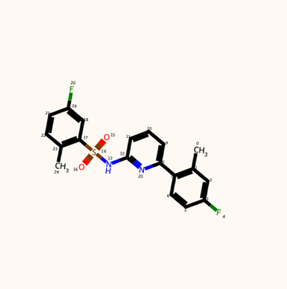 Cc1cc(F)ccc1-c1cccc(NS(=O)(=O)c2cc(F)ccc2C)n1